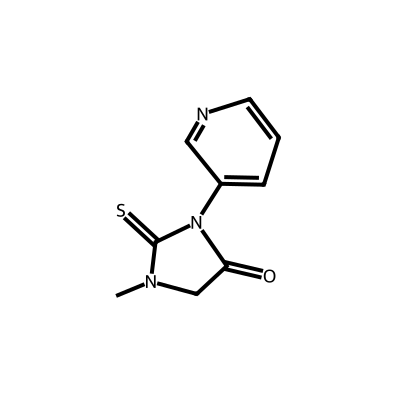 CN1CC(=O)N(c2cccnc2)C1=S